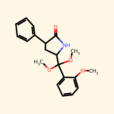 COc1ccccc1C(OC)(OC)C1CC(c2ccccc2)C(=O)N1